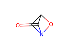 O=C1C2CN1O2